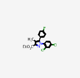 CCOC(=O)c1nn(-c2ccc(Cl)cc2Cl)c(-c2ccc(F)cc2)c1C